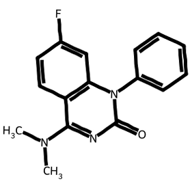 CN(C)c1nc(=O)n(-c2ccccc2)c2cc(F)ccc12